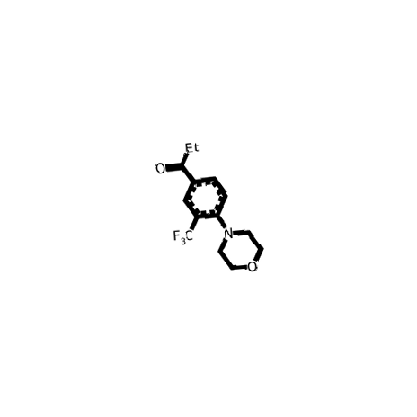 CCC(=O)c1ccc(N2CCOCC2)c(C(F)(F)F)c1